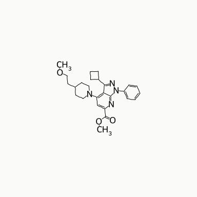 COCCC1CCN(c2cc(C(=O)OC)nc3c2c(C2CCC2)nn3-c2ccccc2)CC1